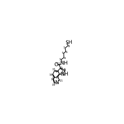 O=C(NCCCCCCS)c1n[nH]c2c1ccc1ccncc12